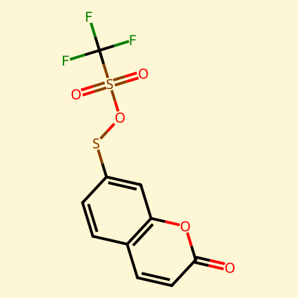 O=c1ccc2ccc(SOS(=O)(=O)C(F)(F)F)cc2o1